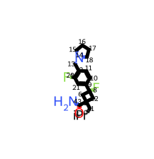 CC(C)CC1(C(N)=O)CC(F)(c2ccc(CN3CCCC3)c(F)c2)C1